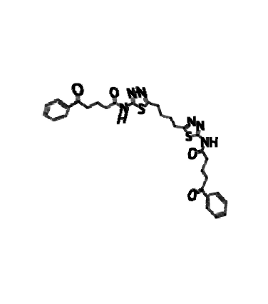 O=C(CCCC(=O)c1ccccc1)Nc1nnc(CCCCc2nnc(NC(=O)CCCC(=O)c3ccccc3)s2)s1